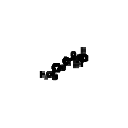 CC(=O)c1cccc(Oc2ccc(C(=O)N[C@@H]3C[C@H]4CC[C@@H]3N4)s2)c1